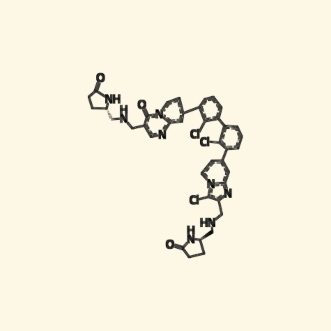 O=C1CC[C@H](CNCc2nc3cc(-c4cccc(-c5cccc(-c6ccn7c(=O)c(CNC[C@@H]8CCC(=O)N8)cnc7c6)c5Cl)c4Cl)ccn3c2Cl)N1